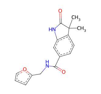 CC1(C)C(=O)Nc2cc(C(=O)NCc3ccco3)ccc21